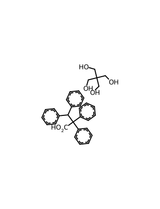 O=C(O)C(c1ccccc1)(c1ccccc1)C(c1ccccc1)c1ccccc1.OCC(CO)(CO)CO